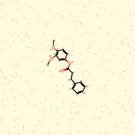 COc1ccc(OC(=O)CCc2ccccc2)cc1OC